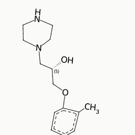 Cc1ccccc1OC[C@@H](O)CN1CCNCC1